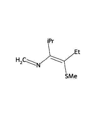 C=N/C(=C(/CC)SC)C(C)C